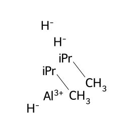 CC(C)C.CC(C)C.[Al+3].[H-].[H-].[H-]